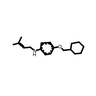 CC(C)=CCNc1ccc(OCC2CCCCC2)cc1